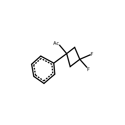 CC(=O)C1(c2ccccc2)CC(F)(F)C1